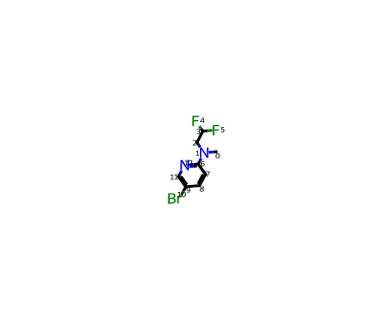 CN(CC(F)F)c1ccc(Br)cn1